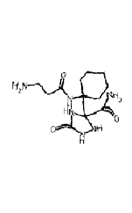 NCCC(=O)NC1(C2(C(N)=O)NNC(=O)N2)CCCCC1